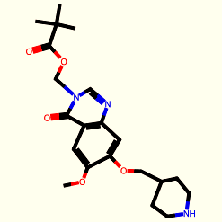 COc1cc2c(=O)n(COC(=O)C(C)(C)C)cnc2cc1OCC1CCNCC1